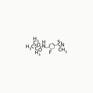 Cc1ncsc1C1=CC=C(CNC(=O)OC(C)(C)C)C(F)C1